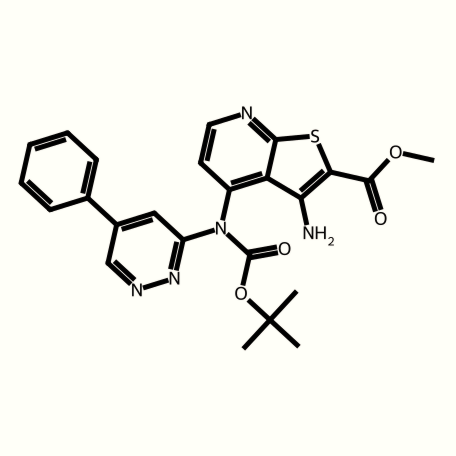 COC(=O)c1sc2nccc(N(C(=O)OC(C)(C)C)c3cc(-c4ccccc4)cnn3)c2c1N